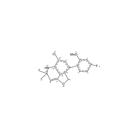 COc1cc(F)ccc1-c1cc(Cl)c2c3c1COC3=CC(C)(C)N2